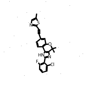 Cc1cnc(C#Cc2ccc3c(c2)OC(C)(C)c2nc(-c4c(F)cccc4Cl)[nH]c2-3)s1